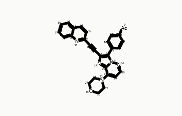 CC(=O)c1ccc(-c2c(C#Cc3ccc4ccccc4n3)nc3c(N4CCOCC4)ccnn23)cc1